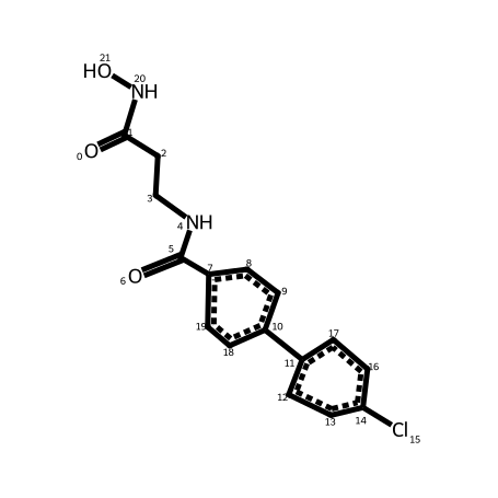 O=C(CCNC(=O)c1ccc(-c2ccc(Cl)cc2)cc1)NO